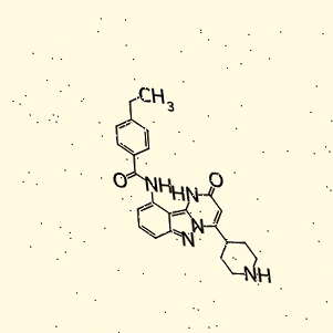 CCc1ccc(C(=O)Nc2cccc3nn4c(C5CCNCC5)cc(=O)[nH]c4c23)cc1